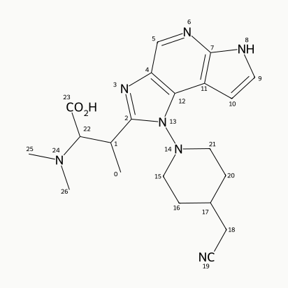 CC(c1nc2cnc3[nH]ccc3c2n1N1CCC(CC#N)CC1)C(C(=O)O)N(C)C